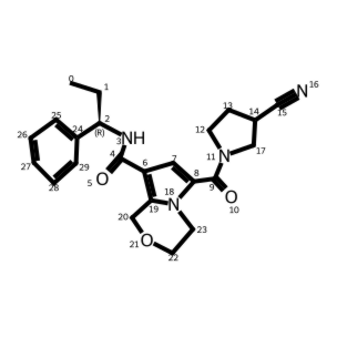 CC[C@@H](NC(=O)c1cc(C(=O)N2CCC(C#N)C2)n2c1COCC2)c1ccccc1